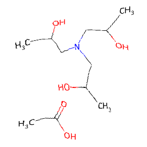 CC(=O)O.CC(O)CN(CC(C)O)CC(C)O